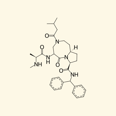 CN[C@@H](C)C(=O)NC1CN(C(=O)CC(C)C)CC[C@H]2CC[C@@H](C(=O)NC(c3ccccc3)c3ccccc3)N2C1=O